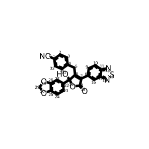 N#Cc1ccc(CC2=C(c3ccc4nsnc4c3)C(=O)OC2(O)c2ccc3c(c2)OCO3)cc1